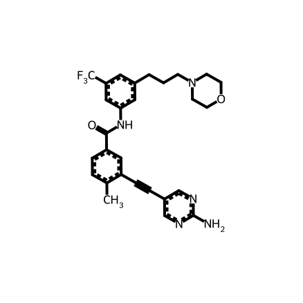 Cc1ccc(C(=O)Nc2cc(CCCN3CCOCC3)cc(C(F)(F)F)c2)cc1C#Cc1cnc(N)nc1